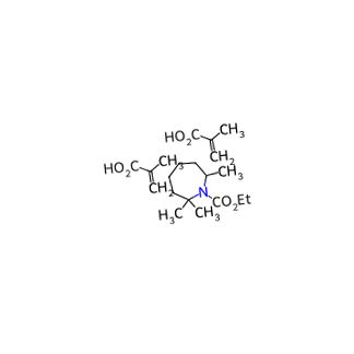 C=C(C)C(=O)O.C=C(C)C(=O)O.CCOC(=O)N1C(C)CCCCC1(C)C